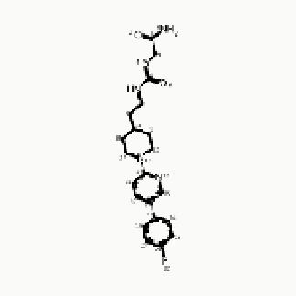 NC(=O)COC(=O)NCCC1CCN(c2ccc(-c3ccc(F)cc3)cn2)CC1